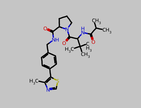 Cc1ncsc1-c1ccc(CNC(=O)C2CCCN2C(=O)C(NC(=O)C(C)C)C(C)(C)C)cc1